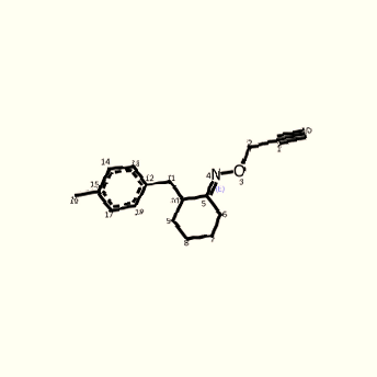 C#CCO/N=C1\CCCCC1Cc1ccc(C)cc1